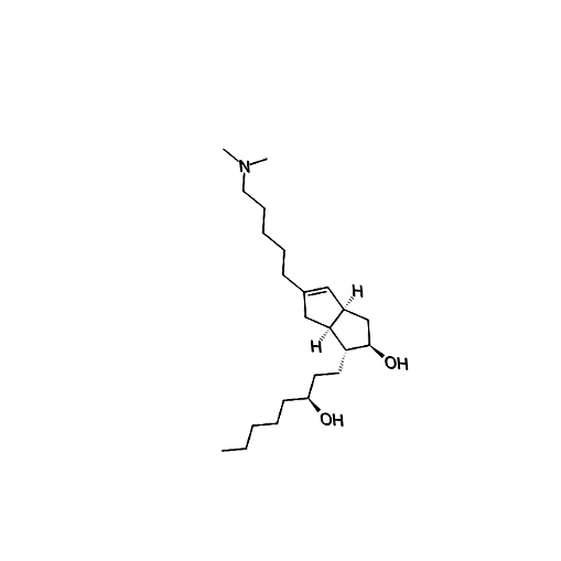 CCCCC[C@H](O)CC[C@@H]1[C@H]2CC(CCCCCN(C)C)=C[C@H]2C[C@H]1O